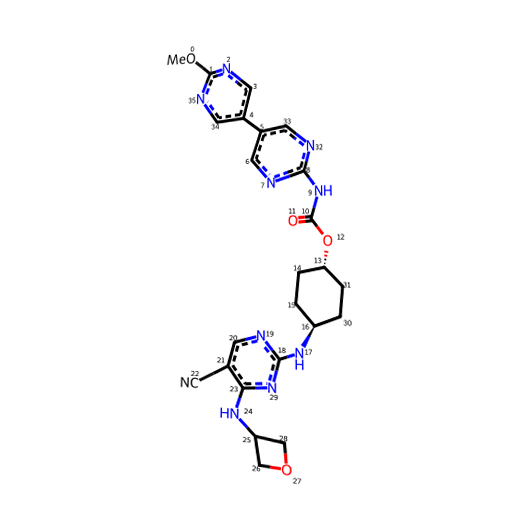 COc1ncc(-c2cnc(NC(=O)O[C@H]3CC[C@H](Nc4ncc(C#N)c(NC5COC5)n4)CC3)nc2)cn1